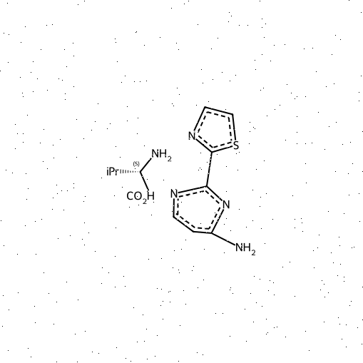 CC(C)[C@H](N)C(=O)O.Nc1ccnc(-c2nccs2)n1